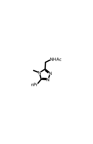 CCCc1nnc(CNC(C)=O)n1C